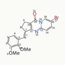 COc1cccc(/C=C2\CCc3c2nc2ccc(Br)cn2c3=O)c1OC